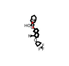 N#Cc1c(O[C@H]2CC[C@@H](C(F)(F)F)CC2)ccc2ccc(CCCN3C4CCCC3CC(C(=O)O)C4)cc12